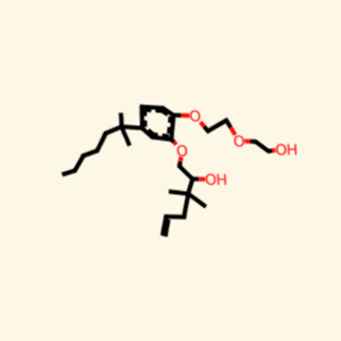 C=CCC(C)(C)C(O)COc1cc(C(C)(C)CCCCC)ccc1OCCOCCO